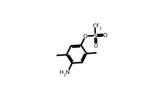 Cc1cc(OS(=O)(=O)C(F)(F)F)c(C)cc1N